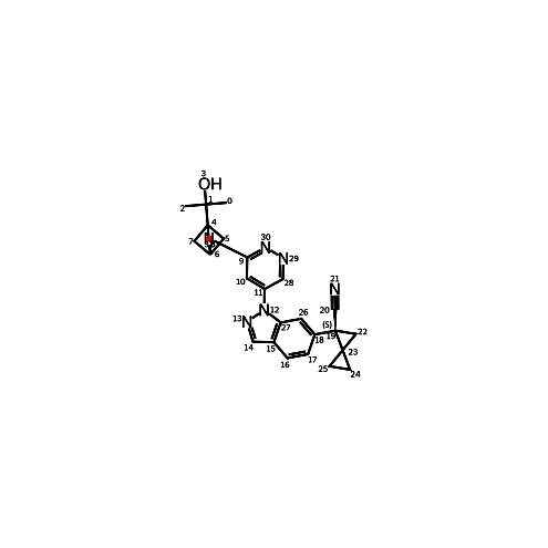 CC(C)(O)C12CC(C1)N(c1cc(-n3ncc4ccc([C@]5(C#N)CC56CC6)cc43)cnn1)C2